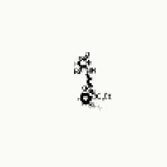 CCOC(=O)N=S(=O)(CCCCNc1nc(Cl)ncc1Br)c1cccc(N)c1